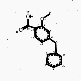 COc1cc(Cc2ccccc2)ccc1C(=O)O